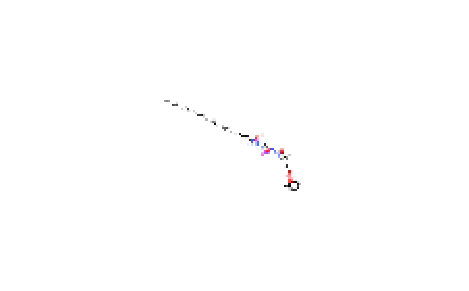 CCC=CCC=CCC=CCC=CCC=CCC=CCCC(=O)NCC(=O)CNC(=O)C(C)(C)CCCOc1cc(C)ccc1C